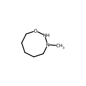 CN1CCCCCON1